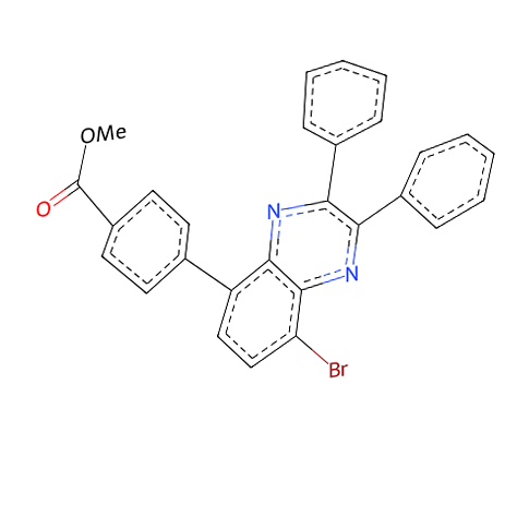 COC(=O)c1ccc(-c2ccc(Br)c3nc(-c4ccccc4)c(-c4ccccc4)nc23)cc1